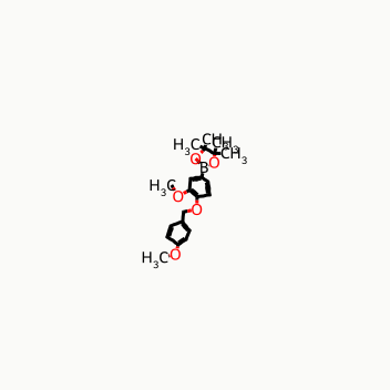 COc1ccc(COc2ccc(B3OC(C)(C)C(C)(C)O3)cc2OC)cc1